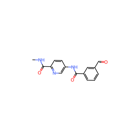 CNC(=O)c1ccc(NC(=O)c2cccc(C=O)c2)cn1